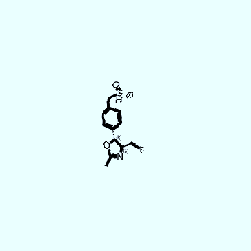 CC1=N[C@H](CF)[C@@H](c2ccc(C[SH](=O)=O)cc2)O1